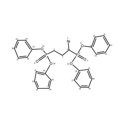 O=P(CC[CH]([Ni])P(=O)(Oc1ccccc1)Oc1ccccc1)(Oc1ccccc1)Oc1ccccc1